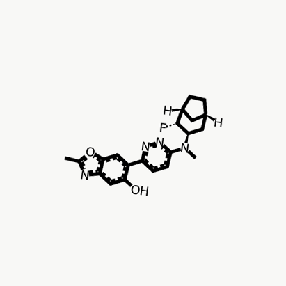 Cc1nc2cc(O)c(-c3ccc(N(C)[C@@H]4C[C@H]5CC[C@H](C5)[C@H]4F)nn3)cc2o1